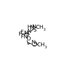 Cc1ccc(C2CC2COc2cc(NCc3nnc(C)s3)nc(C(F)(F)F)n2)nc1